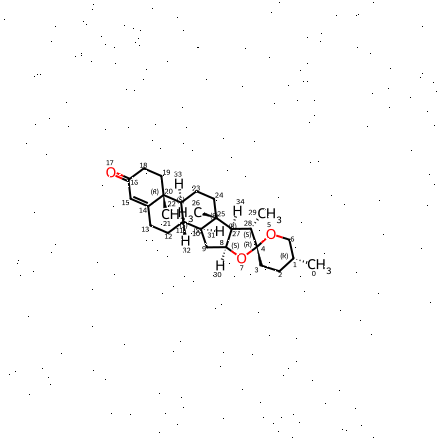 C[C@@H]1CC[C@@]2(OC1)O[C@H]1C[C@H]3[C@@H]4CCC5=CC(=O)CC[C@]5(C)[C@H]4CC[C@]3(C)[C@H]1[C@@H]2C